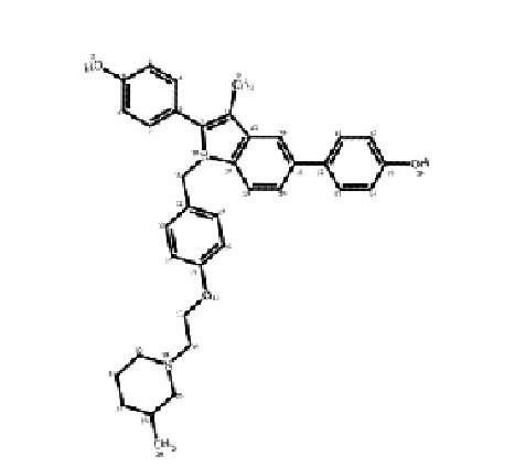 Cc1c(-c2ccc(O)cc2)n(Cc2ccc(OCCN3CCCC(C)C3)cc2)c2ccc(-c3ccc(O)cc3)cc12